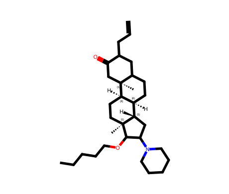 C=CCC1CC2CC[C@@H]3[C@@H](CC[C@]4(C)C(OCCCCC)C(N5CCCCC5)C[C@@H]34)[C@@]2(C)CC1=O